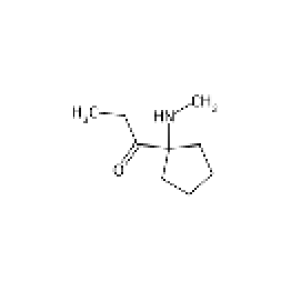 CCC(=O)C1(NC)CCCC1